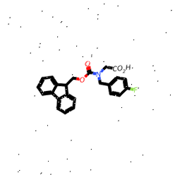 O=C(O)CN(Cc1ccc(F)cc1)C(=O)OCC1c2ccccc2-c2ccccc21